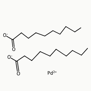 CCCCCCCCCC(=O)[O-].CCCCCCCCCC(=O)[O-].[Pd+2]